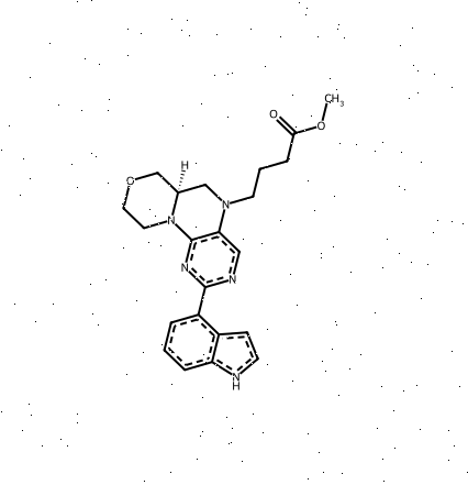 COC(=O)CCCN1C[C@@H]2COCCN2c2nc(-c3cccc4[nH]ccc34)ncc21